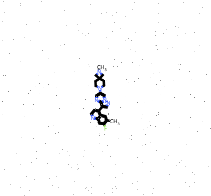 Cc1cc2c(-c3cnn4cc(N5CCC6(CC5)CN(C)C6)cnc34)ccnc2cc1F